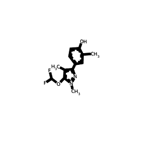 Cc1cc(-c2nn(C)c(OC(F)F)c2C)ccc1O